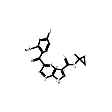 CNc1cc(Cl)ccc1C(=N)c1cnc2[nH]cc(C(=O)NC3(C)CC3)c2n1